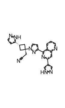 N#CC[C@]1(n2ccc(-c3nc(-c4cn[nH]c4)cc4ncccc34)n2)C[C@@H](c2ccn[nH]2)C1